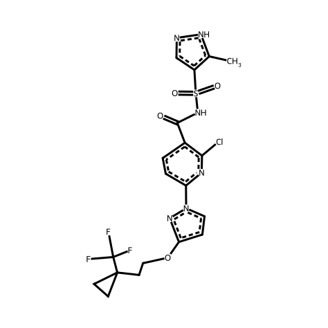 Cc1[nH]ncc1S(=O)(=O)NC(=O)c1ccc(-n2ccc(OCCC3(C(F)(F)F)CC3)n2)nc1Cl